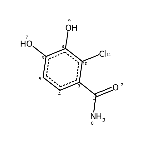 NC(=O)c1ccc(O)c(O)c1Cl